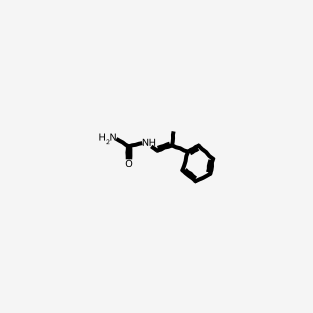 CC(=CNC(N)=O)c1ccccc1